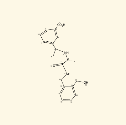 CC(NC(C)c1cc(C(=O)O)ccn1)C(=O)NCc1ccccc1CO